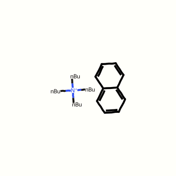 CCCC[N+](CCCC)(CCCC)CCCC.c1ccc2ccccc2c1